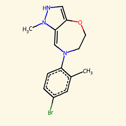 Cc1cc(Br)ccc1N1C=C2C(=CNN2C)OCC1